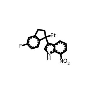 CCC1(c2c[nH]c3c([N+](=O)[O-])cccc23)CCc2cc(F)ccc21